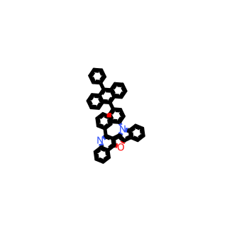 c1ccc(-c2c3ccccc3c(-c3ccc(-n4c5ccccc5c5oc6c7ccccc7nc(-c7ccccc7)c6c54)cc3)c3ccccc23)cc1